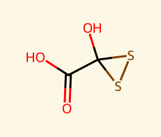 O=C(O)C1(O)SS1